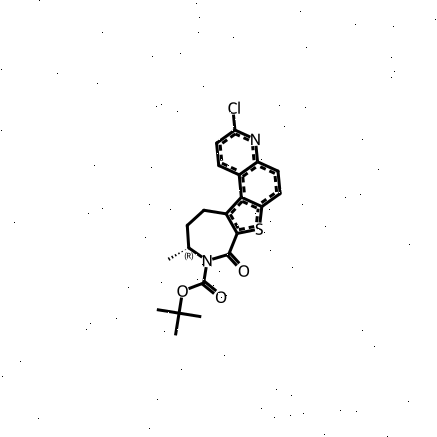 C[C@@H]1CCc2c(sc3ccc4nc(Cl)ccc4c23)C(=O)N1C(=O)OC(C)(C)C